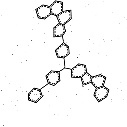 c1ccc(-c2ccc(N(c3ccc(-c4ccc5c(ccc6ccc7ccccc7c65)c4)cc3)c3ccc4c(c3)oc3c5ccccc5ccc43)cc2)cc1